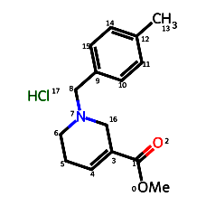 COC(=O)C1=CCCN(Cc2ccc(C)cc2)C1.Cl